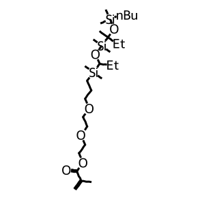 C=C(C)C(=O)OCCOCCOCCC[Si](C)(C)C(CC)O[Si](C)(C)C(C)(CC)O[Si](C)(C)CCCC